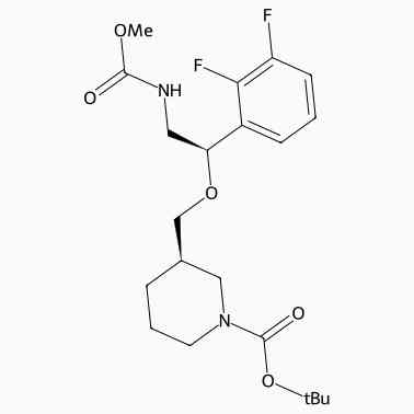 COC(=O)NC[C@H](OC[C@@H]1CCCN(C(=O)OC(C)(C)C)C1)c1cccc(F)c1F